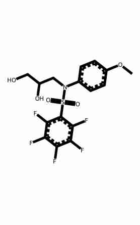 COc1ccc(N(CC(O)CO)S(=O)(=O)c2c(F)c(F)c(F)c(F)c2F)cc1